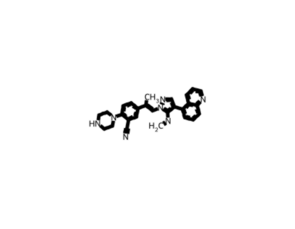 C=Nc1c(-c2cccc3ncccc23)cnn1/C=C(\C)c1ccc(N2CCNCC2)c(C#N)c1